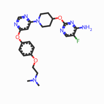 CN(C)CCOc1ccc(Oc2cc(N3CCC(Oc4ncc(F)c(N)n4)CC3)ncn2)cc1